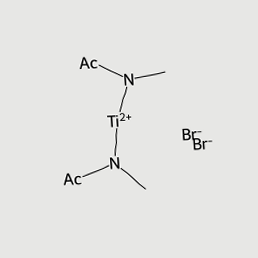 CC(=O)[N](C)[Ti+2][N](C)C(C)=O.[Br-].[Br-]